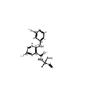 C#CC(C)(CC)NC(=O)c1cc(F)cnc1Nc1cccc(F)c1